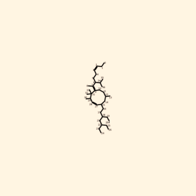 CC/C=C\CCC(/C(C)=C1\CCC(C)CC(CCC(CI)CC(CC)CC)/C=C\C(C)C1(C)C)C(C)C